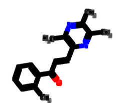 Cc1ccccc1C(=O)C=Cc1nc(C)c(C)nc1C